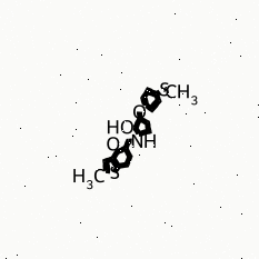 CSc1ccc(OC2CCC(NCC3CCc4sc(C)cc4C3=O)C2O)cc1